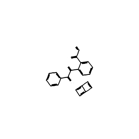 O=CC(=O)c1ccccc1C(=O)C(=O)c1ccccc1.c1cc2ccc1-2